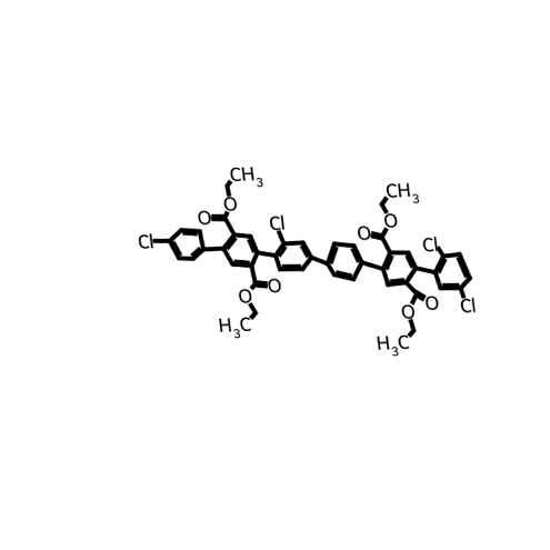 CCOC(=O)c1cc(-c2ccc(-c3ccc(-c4cc(C(=O)OCC)c(-c5cc(Cl)ccc5Cl)cc4C(=O)OCC)cc3)cc2Cl)c(C(=O)OCC)cc1-c1ccc(Cl)cc1